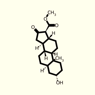 COC(=O)[C@@H]1C(=O)C[C@@H]2[C@H]3CC[C@@H]4C[C@@H](O)CC[C@@]4(C)[C@@H]3CC[C@@H]12